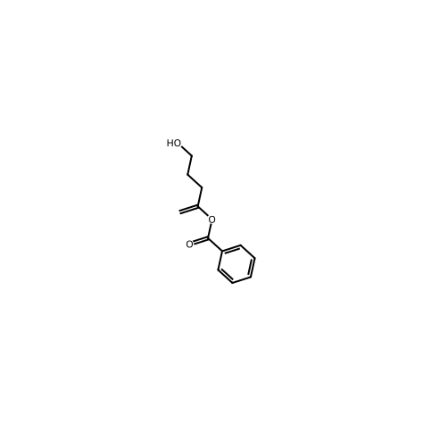 C=C(CCCO)OC(=O)c1ccccc1